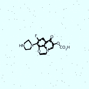 O=C(O)Oc1cn2c3c(c(N4CCNCC4)c(F)cc3c1=O)OC=C2